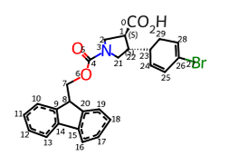 O=C(O)[C@@H]1CN(C(=O)OCC2c3ccccc3-c3ccccc32)C[C@H]1C1C=CC(Br)=CC1